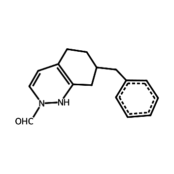 O=CN1C=CC2=C(CC(Cc3ccccc3)CC2)N1